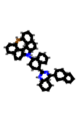 c1ccc2cc(-c3nc(-c4ccc(-n5c6ccc7cccc8sc9cccc%10ccc5c(c%109)c6c78)c5ccccc45)nc4ccccc34)ccc2c1